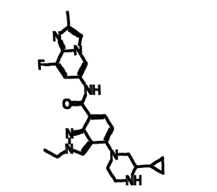 CCn1cc2c(N3CCNC(C4CC4)C3)ccc(C(=O)Nc3cc(F)c4nc(C)cn4c3)c2n1